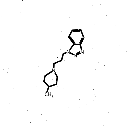 CC1CCN(CCCn2nnc3ccccc32)CC1